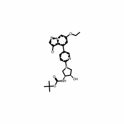 CCOc1cc(-c2ccc(N3C[C@@H](O)[C@@H](NC(=O)OC(C)(C)C)C3)nc2)c2c(Cl)cnn2c1